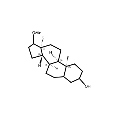 COC1CC[C@H]2[C@@H]3CCC4CC(O)CC[C@]4(C)[C@@H]3CC[C@]12C